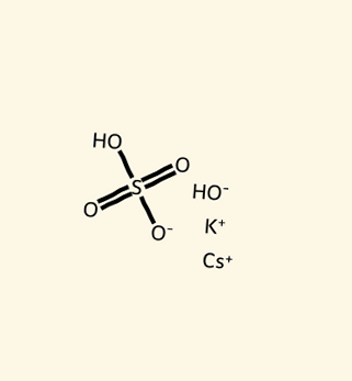 O=S(=O)([O-])O.[Cs+].[K+].[OH-]